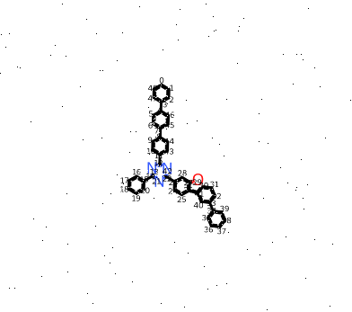 c1ccc(-c2ccc(-c3ccc(-c4nc(-c5ccccc5)nc(-c5ccc6c(c5)oc5ccc(-c7ccccc7)cc56)n4)cc3)cc2)cc1